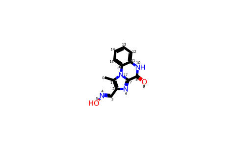 Cc1c(C=NO)nc2c(=O)[nH]c3ccccc3n12